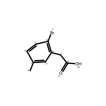 Cc1ccc(Br)c(CC(=O)O)c1